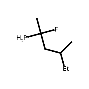 CCC(C)CC(C)(F)P